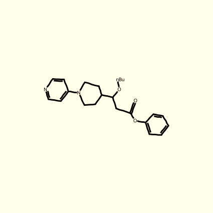 CCCCOC(CC(=O)Oc1ccccc1)C1CCN(c2ccncc2)CC1